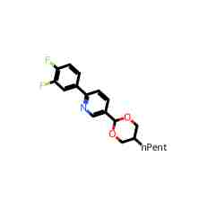 CCCCCC1COC(c2ccc(-c3ccc(F)c(F)c3)nc2)OC1